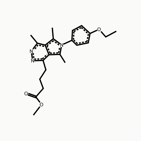 CCOc1ccc(-n2c(C)c3c(C)nnc(CCCC(=O)OC)c3c2C)cc1